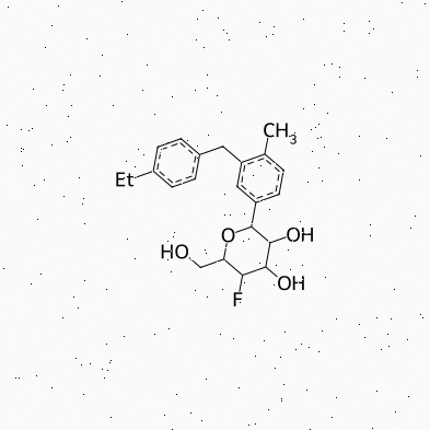 CCc1ccc(Cc2cc(C3OC(CO)C(F)C(O)C3O)ccc2C)cc1